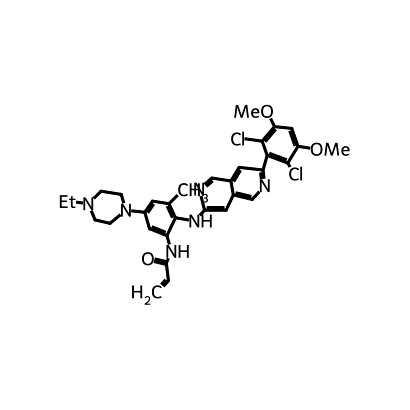 C=CC(=O)Nc1cc(N2CCN(CC)CC2)cc(C)c1Nc1cc2cnc(-c3c(Cl)c(OC)cc(OC)c3Cl)cc2cn1